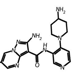 Nc1nn2cc(F)cnc2c1C(=O)Nc1cnccc1N1CCC(N)CC1